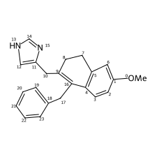 COc1ccc2c(c1)CCC(Cc1c[nH]cn1)=C2Cc1ccccc1